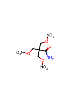 NC(=O)C(CO[N+](=O)[O-])(CO[N+](=O)[O-])CO[N+](=O)[O-]